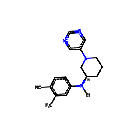 CCN(c1ccc(C#N)c(C(F)(F)F)c1)[C@@H]1CCCN(c2cncnc2)C1